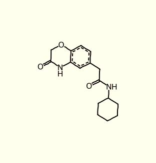 O=C1COc2ccc(CC(=O)NC3CCCCC3)cc2N1